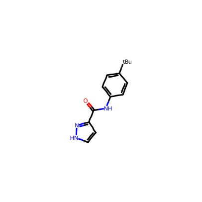 CC(C)(C)c1ccc(NC(=O)c2cc[nH]n2)cc1